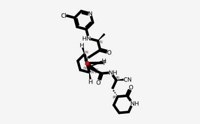 C[C@H](Nc1cncc(Cl)c1)C(=O)N1[C@H]2CC[C@@H]([C@H]1C(=O)N[C@@H](C#N)C[C@H]1CCCNC1=O)C(F)(F)C2